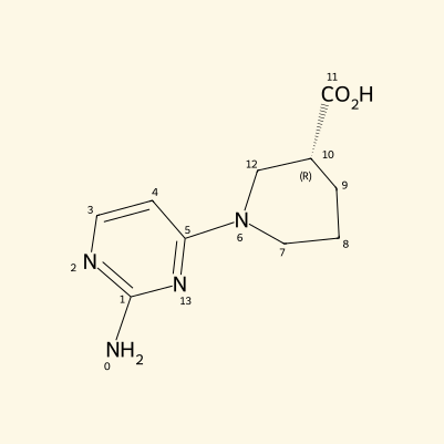 Nc1nccc(N2CCC[C@@H](C(=O)O)C2)n1